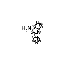 Nc1cc(-c2ccncn2)nc2cnccc12